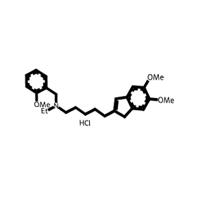 CCN(CCCCCC1=Cc2cc(OC)c(OC)cc2C1)Cc1ccccc1OC.Cl